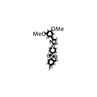 COc1cc(OC)cc(-c2csc(N3CCC(S(=O)(=O)c4ccc(F)cc4F)CC3)n2)c1